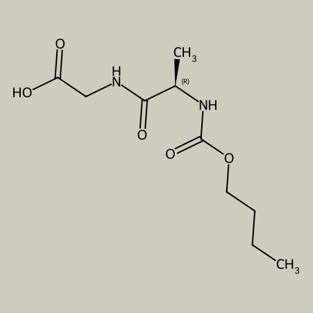 CCCCOC(=O)N[C@H](C)C(=O)NCC(=O)O